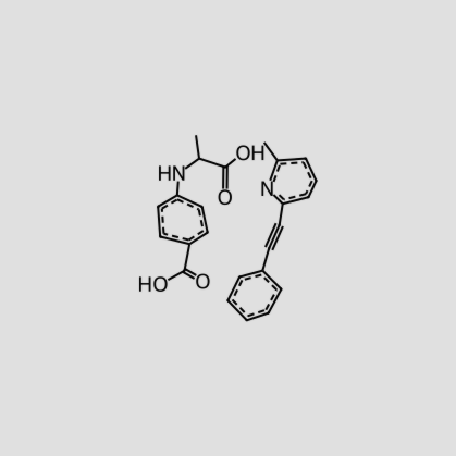 CC(Nc1ccc(C(=O)O)cc1)C(=O)O.Cc1cccc(C#Cc2ccccc2)n1